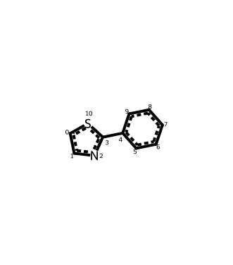 [c]1cnc(-c2ccccc2)s1